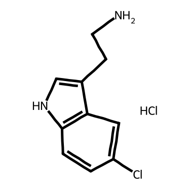 Cl.NCCc1c[nH]c2ccc(Cl)cc12